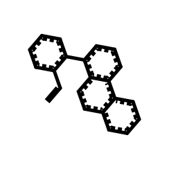 C=Cc1ccccc1-c1cccc2c1ccc1ccccc12